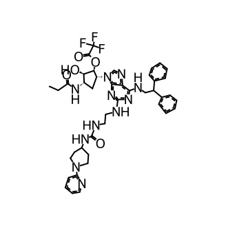 CCC(=O)N[C@H]1C[C@@H](n2cnc3c(NCC(c4ccccc4)c4ccccc4)nc(NCCNC(=O)NC4CCN(c5ccccn5)CC4)nc32)[C@H](OC(=O)C(F)(F)F)[C@@H]1O